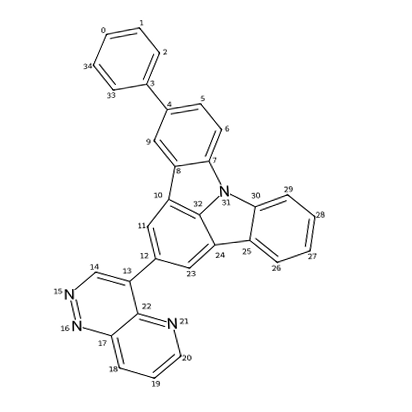 c1ccc(-c2ccc3c(c2)c2cc(-c4cnnc5cccnc45)cc4c5ccccc5n3c42)cc1